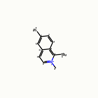 CC(C)c1ccc2c(C(C)(C)C)[n+](C)ccc2c1